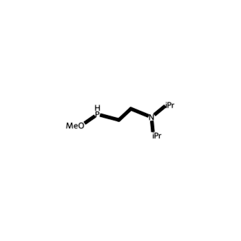 COPCCN(C(C)C)C(C)C